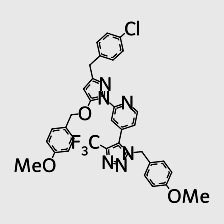 COc1ccc(COc2cc(Cc3ccc(Cl)cc3)nn2-c2cc(-c3c(C(F)(F)F)nnn3Cc3ccc(OC)cc3)ccn2)cc1